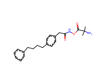 CC(C)(N)C(=O)ONC(=O)Cc1ccc(CCCCc2ccccc2)cc1